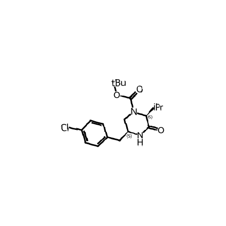 CC(C)[C@H]1C(=O)N[C@@H](Cc2ccc(Cl)cc2)CN1C(=O)OC(C)(C)C